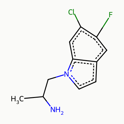 CC(N)Cn1ccc2cc(F)c(Cl)cc21